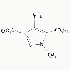 CCOC(=O)c1nn(C)c(C(=O)OCC)c1C(F)(F)F